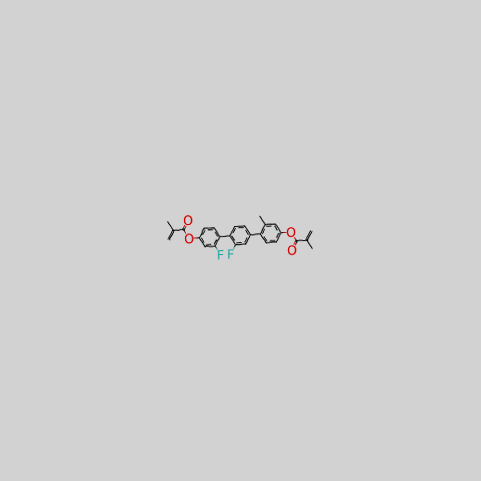 C=C(C)C(=O)Oc1ccc(-c2ccc(-c3ccc(OC(=O)C(=C)C)cc3F)c(F)c2)c(C)c1